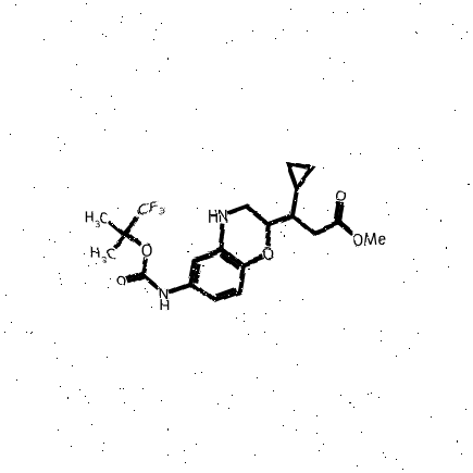 COC(=O)CC(C1CC1)C1CNc2cc(NC(=O)OC(C)(C)C(F)(F)F)ccc2O1